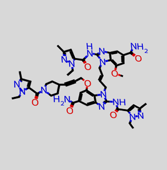 CCn1nc(C)cc1C(=O)Nc1nc2cc(C(N)=O)cc(OC)c2n1CC=CCn1c(NC(=O)c2cc(C)nn2CC)nc2cc(C(N)=O)cc(OCC#CC3CCN(C(=O)c4cc(C)nn4CC)CC3)c21